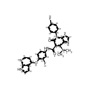 CN(C)c1c(C(=O)Nc2ccc(Oc3ccnc4[nH]ccc34)c(F)c2)c(=O)n(-c2ccc(F)cc2)c2scnc12